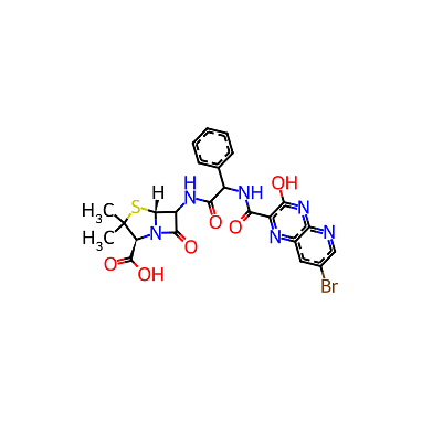 CC1(C)S[C@@H]2C(NC(=O)C(NC(=O)c3nc4cc(Br)cnc4nc3O)c3ccccc3)C(=O)N2[C@H]1C(=O)O